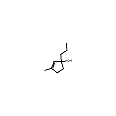 CCCC1(O)C=C(C)CC1